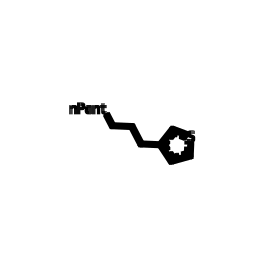 CCCCCCCCc1ccsc1